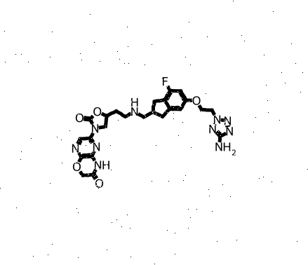 Nc1nnn(CCOc2cc(F)c3c(c2)CC(CNCCC2CN(c4cnc5c(n4)NC(=O)CO5)C(=O)O2)C3)n1